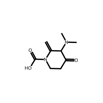 C=C1C(N(C)C)C(=O)CCN1C(=O)O